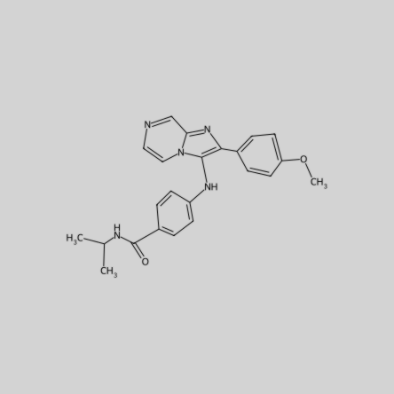 COc1ccc(-c2nc3cnccn3c2Nc2ccc(C(=O)NC(C)C)cc2)cc1